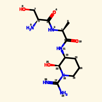 C[C@H](NC(=O)[C@H](N)CO)C(=O)N[C@H]1CCCN(C(=N)N)[C@H]1O